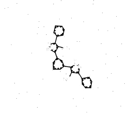 N#Cc1c(-c2ccccc2)n[nH]c1-c1cccc(-c2[nH]nc(-c3ccccc3)c2C#N)c1